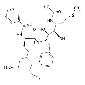 CCCC(CCC)CC[C@@H](NC(=O)c1cccnc1)C(=O)N[C@@H](Cc1ccccc1)[C@@H](O)[C@H](O)[C@@H](CCSC)NC(C)=O